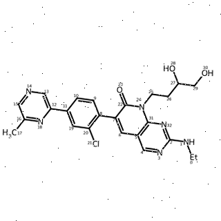 CCNc1ncc2cc(-c3ccc(-c4cncc(C)n4)cc3Cl)c(=O)n(CCC(O)CO)c2n1